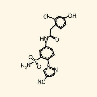 N#Cc1cnn(-c2ccc(NC(=O)Cc3ccc(O)cc3Cl)cc2S(N)(=O)=O)c1